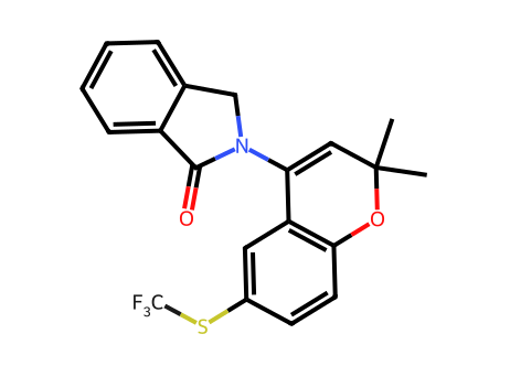 CC1(C)C=C(N2Cc3ccccc3C2=O)c2cc(SC(F)(F)F)ccc2O1